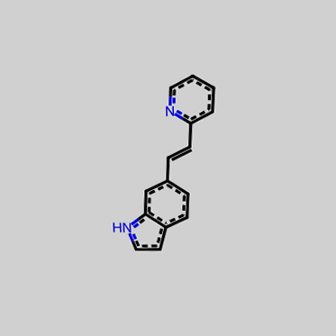 C(=C\c1ccccn1)/c1ccc2cc[nH]c2c1